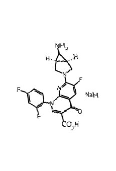 NC1[C@H]2CN(c3nc4c(cc3F)c(=O)c(C(=O)O)cn4-c3ccc(F)cc3F)C[C@@H]12.[NaH]